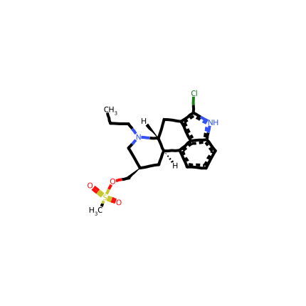 CCCN1C[C@H](COS(C)(=O)=O)C[C@@H]2c3cccc4[nH]c(Cl)c(c34)C[C@H]21